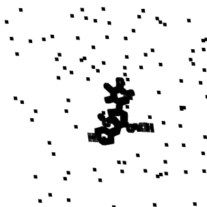 COc1cc(-c2cn(C)c(=O)c(C)c2C)cc(OC)c1C=C1CCNCC1.Cl